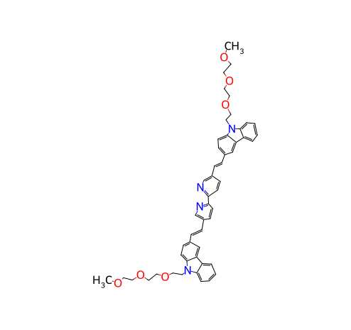 COCCOCCOCCn1c2ccccc2c2cc(C=Cc3ccc(-c4ccc(C=Cc5ccc6c(c5)c5ccccc5n6CCOCCOCCOC)cn4)nc3)ccc21